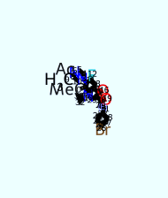 COc1c(N2CCN(C(C)=O)C(C)C2)c(F)cc2c(=O)c(C(=O)/C=C/c3ccc(Br)cc3)cn(C3CC3)c12